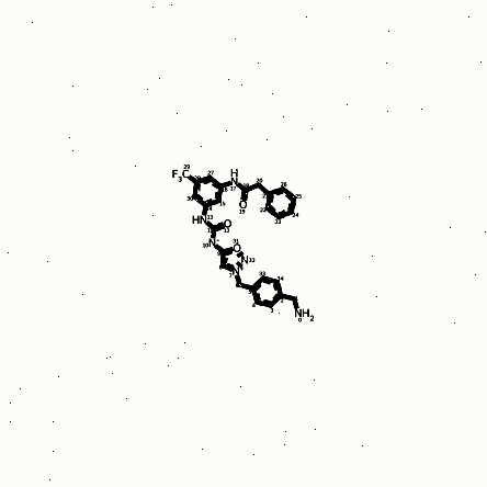 NCc1ccc(C[n+]2cc([N-]C(=O)Nc3cc(NC(=O)Cc4ccccc4)cc(C(F)(F)F)c3)on2)cc1